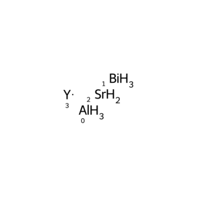 [AlH3].[BiH3].[SrH2].[Y]